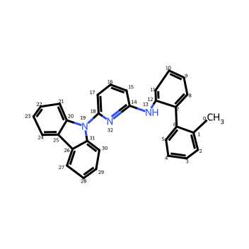 Cc1ccccc1-c1ccccc1Nc1cccc(-n2c3ccccc3c3ccccc32)n1